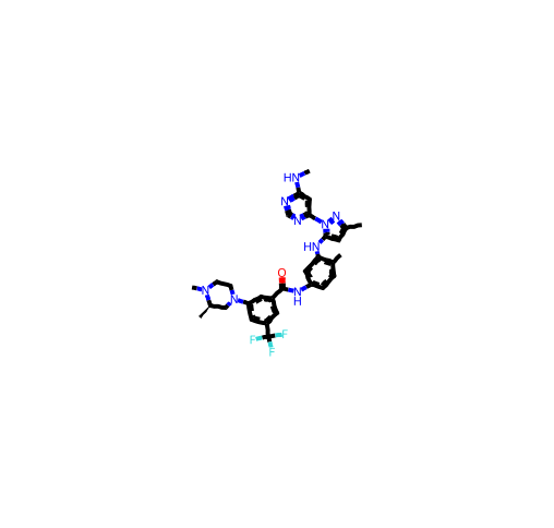 CNc1cc(-n2nc(C)cc2Nc2cc(NC(=O)c3cc(N4CCN(C)[C@H](C)C4)cc(C(F)(F)F)c3)ccc2C)ncn1